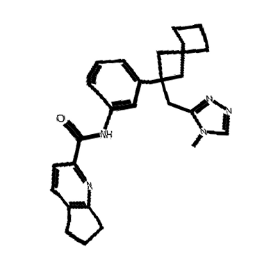 Cn1cnnc1CC1(c2cccc(NC(=O)c3ccc4c(n3)CCC4)c2)CC2(CCC2)C1